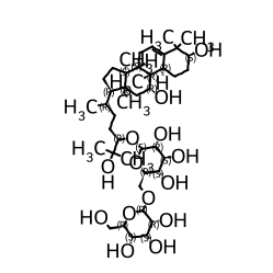 C[C@H](CC[C@@H](O[C@@H]1O[C@H](CO[C@@H]2O[C@H](CO)[C@@H](O)[C@H](O)[C@H]2O)[C@@H](O)[C@H](O)[C@H]1O)C(C)(C)O)[C@H]1CC[C@@]2(C)[C@@H]3CC=C4[C@@H](CC[C@H](O)C4(C)C)[C@]3(C)[C@H](O)C[C@]12C